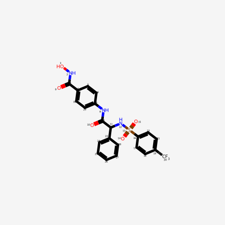 O=C(NO)c1ccc(NC(=O)C(NS(=O)(=O)c2ccc(C(F)(F)F)cc2)c2ccccc2)cc1